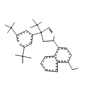 NCc1ccc(C2CC(c3cc(C(F)(F)F)nc(C(F)(F)F)c3)(C(F)(F)F)C=N2)c2ccccc12